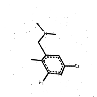 CCc1cc(CC)c(C)c(CN(C)C)c1